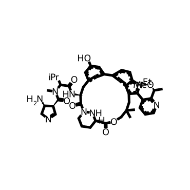 CCn1c(-c2cccnc2[C@H](C)OC)c2c3cc(ccc31)-c1cc(O)cc(c1)C[C@H](NC(=O)C(C(C)C)N(C)C(=O)[C@H]1C=NC[C@H]1N)C(=O)N1CCC[C@H](N1)C(=O)OCC(C)(C)C2